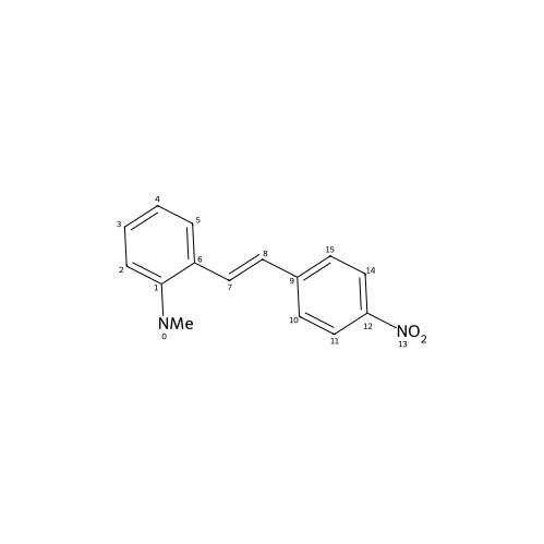 CNc1ccccc1C=Cc1ccc([N+](=O)[O-])cc1